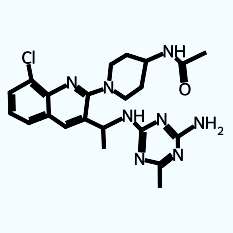 CC(=O)NC1CCN(c2nc3c(Cl)cccc3cc2C(C)Nc2nc(C)nc(N)n2)CC1